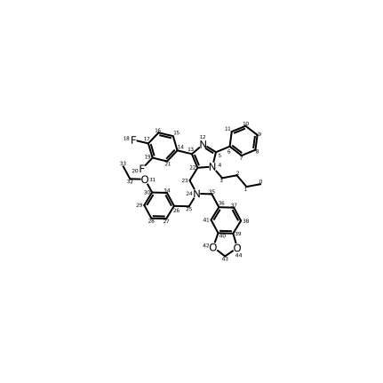 CCCCn1c(-c2ccccc2)nc(-c2ccc(F)c(F)c2)c1CN(Cc1cccc(OCC)c1)Cc1ccc2c(c1)OCO2